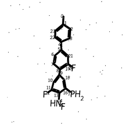 Cc1ccc(-c2ccc(-c3cc(F)c(NF)c(P)c3)c(F)c2)cc1